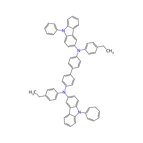 CCc1ccc(N(c2ccc(-c3ccc(N(c4ccc(CC)cc4)c4ccc5c(c4)c4ccccc4n5-c4ccccc4)cc3)cc2)c2ccc3c(c2)c2ccccc2n3C2=CCC=CC=C2)cc1